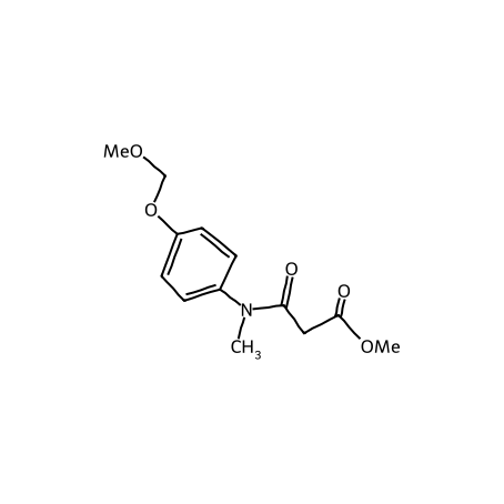 COCOc1ccc(N(C)C(=O)CC(=O)OC)cc1